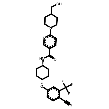 N#Cc1ccc(O[C@H]2CC[C@H](NC(=O)c3ccc(N4CCC(CO)CC4)nc3)CC2)cc1C(F)(F)F